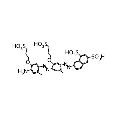 Cc1cc(N=Nc2cc(OCCCS(=O)(=O)O)c(N)cc2C)c(OCCCS(=O)(=O)O)cc1N=Nc1ccc2cc(S(=O)(=O)O)cc(S(=O)(=O)O)c2c1